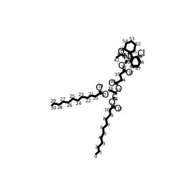 CCCCCCCCCCCC(=O)OCC(COC(=O)CCCCCCCCCCC)OC(=O)CCC(=O)OCN(CC)C1(c2ccccc2Cl)CCCCC1=O